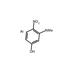 CNc1cc(O)ccc1[N+](=O)[O-].[Ar]